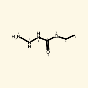 CCOC(=O)NNN